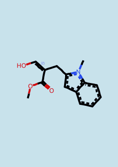 COC(=O)/C(=C\O)Cc1cc2ccccc2n1C